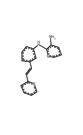 Nc1cccnc1Nc1cccc(C=Cc2ccccn2)c1